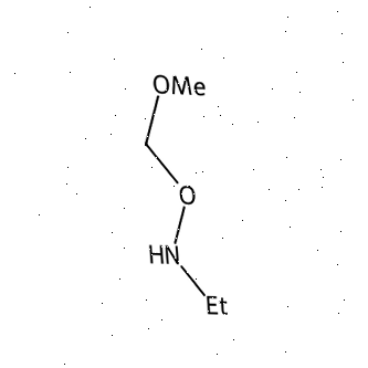 CCNOCOC